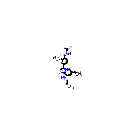 C=Cc1cc(NCCC(F)(F)F)c2ncc(-c3ccc(C(=O)N[C@H]4C[C@@H]4F)c(C)c3)n2c1